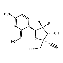 C[C@]1(F)[C@H](n2ccc(N)n/c2=N\O)O[C@](C#N)(CO)[C@H]1O